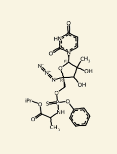 CC(C)OC(=O)C(C)NP(=S)(OC[C@@]1(N=[N+]=[N-])O[C@@H](n2ccc(=O)[nH]c2=O)C(C)(O)C1O)Oc1ccccc1